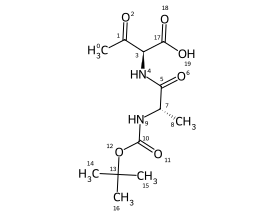 CC(=O)[C@H](NC(=O)[C@H](C)NC(=O)OC(C)(C)C)C(=O)O